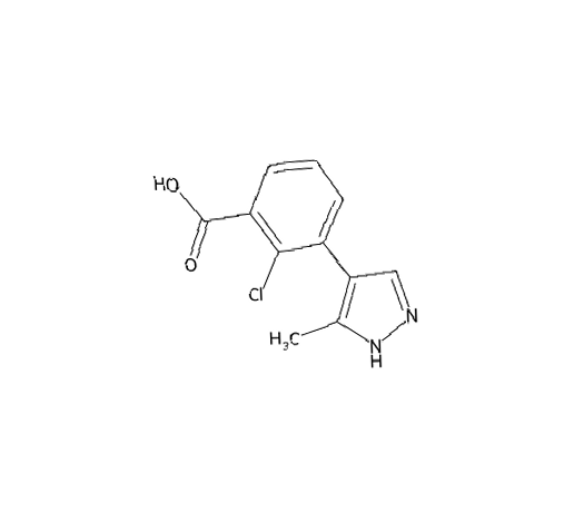 Cc1[nH]ncc1-c1cccc(C(=O)O)c1Cl